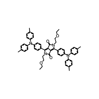 CCOCCN1C(=O)C2=C(c3ccc(N(c4ccc(C)cc4)c4ccc(C)cc4)cc3)N(CCOCC)C(=O)C2=C1c1ccc(N(c2ccc(C)cc2)c2ccc(C)cc2)cc1